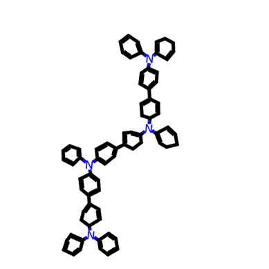 C1=CC(N(c2ccccc2)c2ccc(C3=CCC(N(C4=CCCC=C4)C4=CC=C(c5ccc(N(c6ccccc6)c6ccc(C7=CCC(N(c8ccccc8)c8ccccc8)C=C7)cc6)cc5)CC4)C=C3)cc2)=CCC1